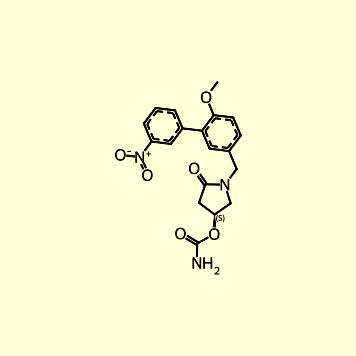 COc1ccc(CN2C[C@@H](OC(N)=O)CC2=O)cc1-c1cccc([N+](=O)[O-])c1